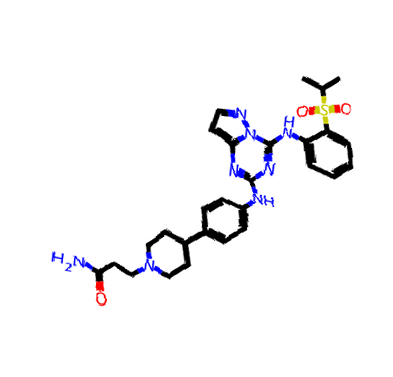 CC(C)S(=O)(=O)c1ccccc1Nc1nc(Nc2ccc(C3CCN(CCC(N)=O)CC3)cc2)nc2ccnn12